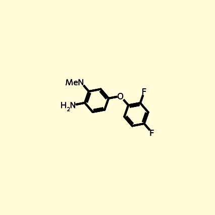 CNc1cc(Oc2ccc(F)cc2F)ccc1N